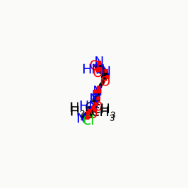 CC1(C)[C@H](NC(=O)c2ccc(N3CCN(CCCCCOc4ccc5ncc(-n6cc(C#N)c(=O)[nH]c6=O)cc5c4)CC3)nc2)C(C)(C)[C@H]1Oc1ccc(C#N)c(Cl)c1